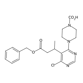 CC(CC(=O)OCc1ccccc1)c1c(Cl)ncnc1N1CCN(C(=O)O)CC1